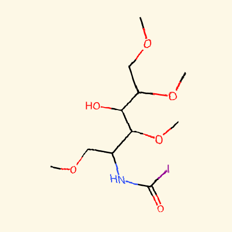 COCC(NC(=O)I)C(OC)C(O)C(COC)OC